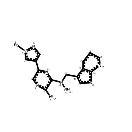 CCn1cc(-c2cnc(N)c(N(N)Cc3csc4ncccc34)n2)cn1